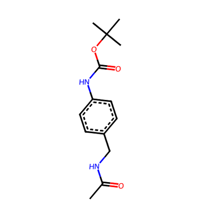 CC(=O)NCc1ccc(NC(=O)OC(C)(C)C)cc1